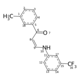 Cc1cccc(C(=O)/C=C\Nc2cccc(C(F)(F)F)c2)c1